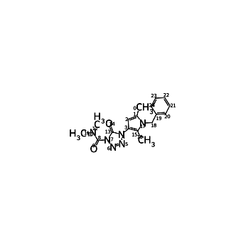 Cc1cc(-n2nnn(C(=O)N(C)C)c2=O)c(C)n1Cc1ccccc1